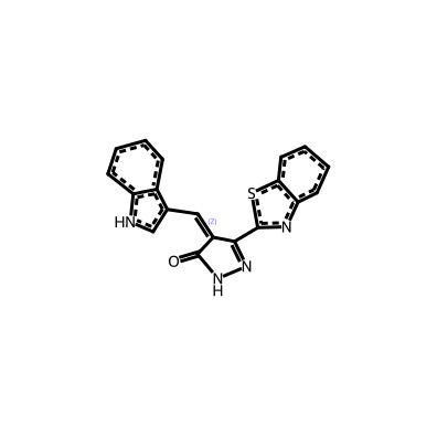 O=C1NN=C(c2nc3ccccc3s2)/C1=C/c1c[nH]c2ccccc12